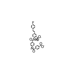 COC(=O)c1ccc(C(=O)N(C)c2ccc(C(=O)Nc3ccc(C=Cc4ccc(F)cc4)cc3C(=O)OC)cc2)cc1